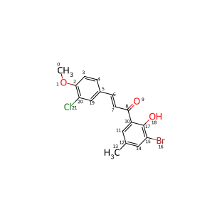 COc1ccc(C=CC(=O)c2cc(C)cc(Br)c2O)cc1Cl